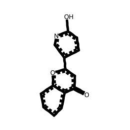 O=c1cc(-c2ccc(O)nc2)oc2ccccc12